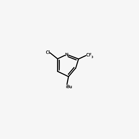 CCC(C)c1cc(Cl)nc(C(F)(F)F)c1